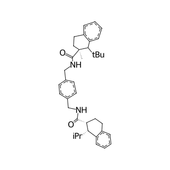 CC(C)[C@H]1c2ccccc2CC[C@H]1C(=O)NCc1ccc(CNC(=O)[C@@]2(C)CCc3ccccc3C2C(C)(C)C)cc1